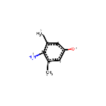 Cc1cc([O])cc(C)c1N